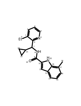 CCc1cccnc1C(NC(=O)c1cc2cccc(C)c2[nH]1)C1CC1